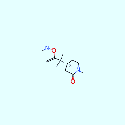 C=C(ON(C)C)C(C)(C)[C@@H]1CCN(C)C(=O)C1